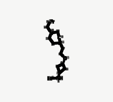 CCN[C@H]1C[C@H](OCCN2CCN(CC(C)C)CC2)C1